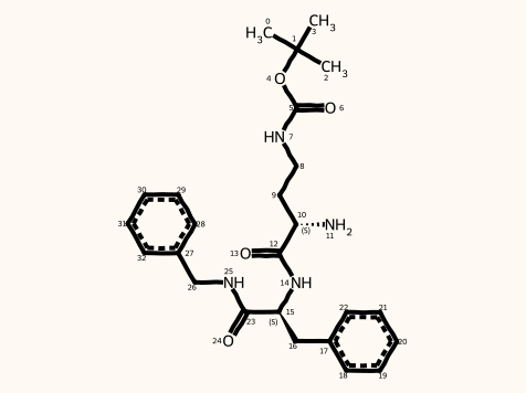 CC(C)(C)OC(=O)NCC[C@H](N)C(=O)N[C@@H](Cc1ccccc1)C(=O)NCc1ccccc1